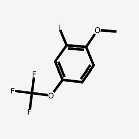 COc1ccc(OC(F)(F)F)cc1I